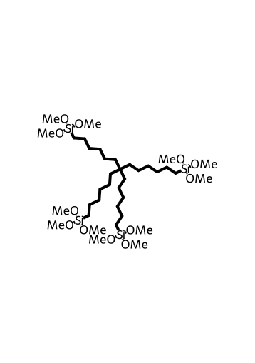 CO[Si](CCCCCCC(CCCCCC[Si](OC)(OC)OC)(CCCCCC[Si](OC)(OC)OC)CCCCCC[Si](OC)(OC)OC)(OC)OC